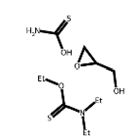 CCOC(=S)N(CC)CC.NC(O)=S.OCC1CO1